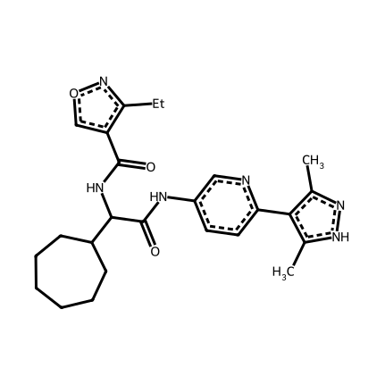 CCc1nocc1C(=O)NC(C(=O)Nc1ccc(-c2c(C)n[nH]c2C)nc1)C1CCCCCC1